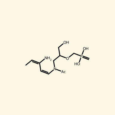 C=P(O)(O)COC(CO)CN(/C=C\C(N)=C/C)C(C)=O